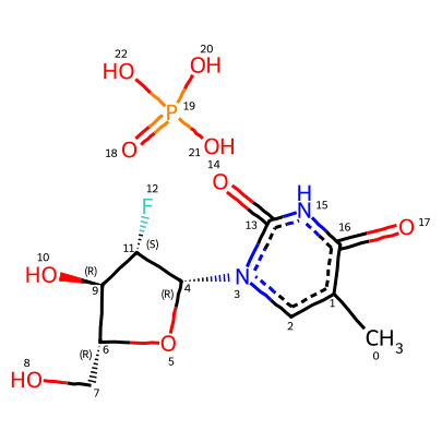 Cc1cn([C@@H]2O[C@H](CO)[C@@H](O)[C@@H]2F)c(=O)[nH]c1=O.O=P(O)(O)O